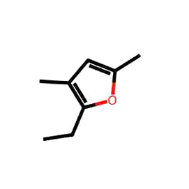 CCc1oc(C)cc1C